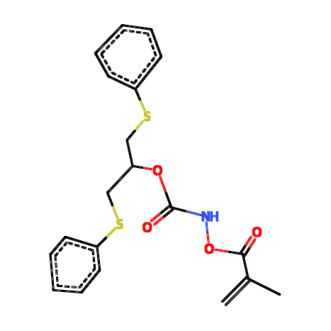 C=C(C)C(=O)ONC(=O)OC(CSc1ccccc1)CSc1ccccc1